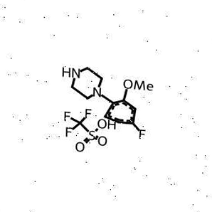 COc1cc(F)ccc1N1CCNCC1.O=S(=O)(O)C(F)(F)F